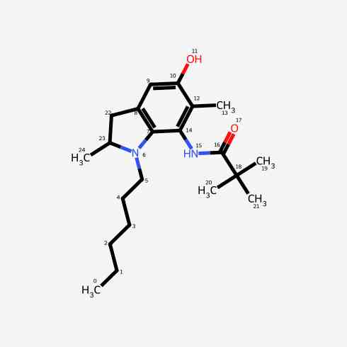 CCCCCCN1c2c(cc(O)c(C)c2NC(=O)C(C)(C)C)CC1C